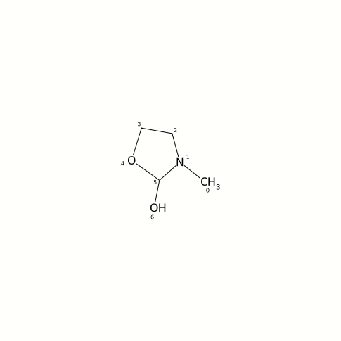 CN1CCOC1O